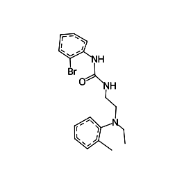 CCN(CCNC(=O)Nc1ccccc1Br)c1ccccc1C